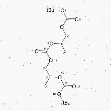 CC(COC(=O)OC(C)(C)C)OC(=O)OCC(C)OC(=O)OC(C)(C)C